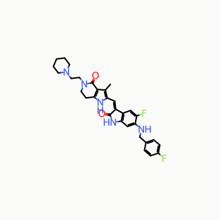 Cc1c(C=C2C(=O)Nc3cc(NCc4ccc(F)cc4)c(F)cc32)[nH]c2c1C(=O)N(CCN1CCCCC1)CC2